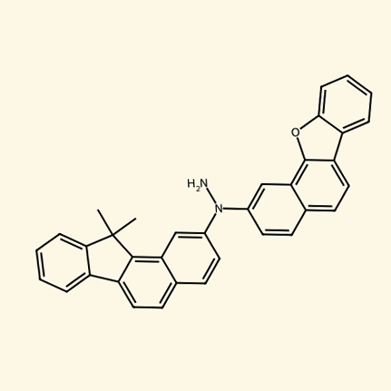 CC1(C)c2ccccc2-c2ccc3ccc(N(N)c4ccc5ccc6c7ccccc7oc6c5c4)cc3c21